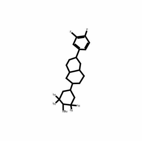 [2H]C1([2H])CC(C2CCC3CC(c4ccc(F)c(F)c4)CCC3C2)CC([2H])([2H])C1CCCC